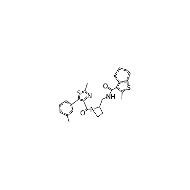 Cc1cccc(-c2sc(C)nc2C(=O)N2CCC2CNC(=O)c2c(C)sc3ccccc23)c1